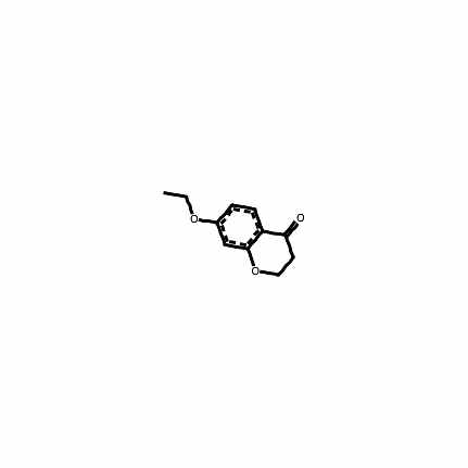 CCOc1ccc2c(c1)OCCC2=O